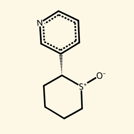 [O-][S+]1CCCC[C@@H]1c1cccnc1